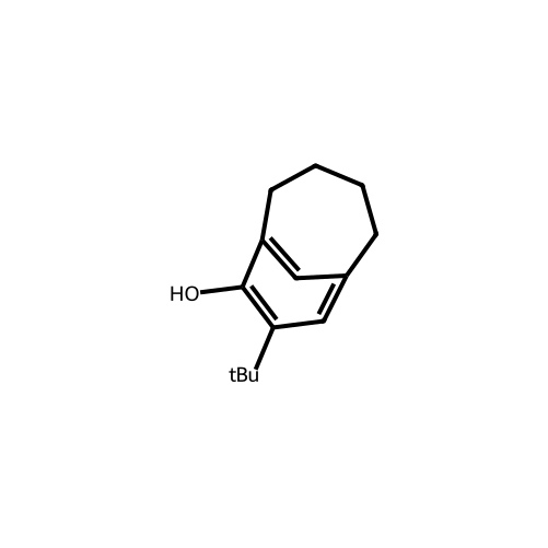 CC(C)(C)c1cc2cc(c1O)CCCC2